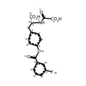 O=C(O)C(=O)N[C@H](Cc1ccc(OC(=O)c2cccc(F)c2)cc1)C(=O)O